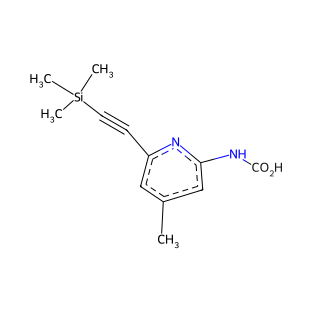 Cc1cc(C#C[Si](C)(C)C)nc(NC(=O)O)c1